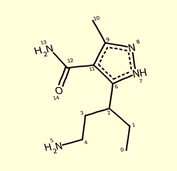 CCC(CCN)c1[nH]nc(C)c1C(N)=O